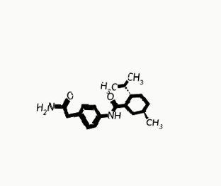 CC(C)[C@@H]1CC[C@@H](C)CC1C(=O)Nc1ccc(CC(N)=O)cc1